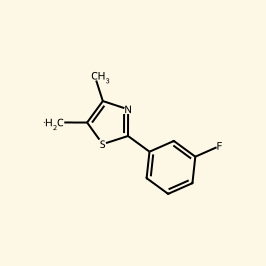 [CH2]c1sc(-c2cccc(F)c2)nc1C